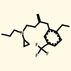 C=C(CCN(CCC)C1CC1)Cc1cc(C(F)(F)F)ccc1CC